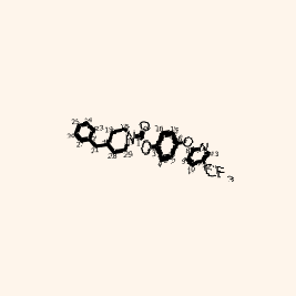 O=C(Oc1ccc(Oc2ccc(C(F)(F)F)cn2)cc1)N1CCC(Cc2ccccc2)CC1